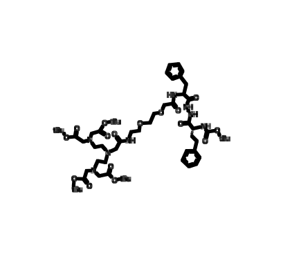 CC(C)(C)OC(=O)CN(CCN(CCN(CC(=O)OC(C)(C)C)CC(=O)OC(C)(C)C)CC(=O)NCCOCCOCC(=O)NC(Cc1ccccc1)C(=O)NNC(=O)[C@@H](CCc1ccccc1)NC(=O)OC(C)(C)C)CC(=O)OC(C)(C)C